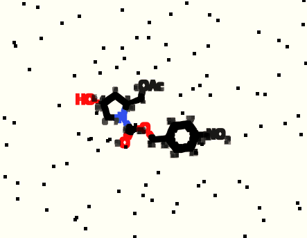 CC(=O)OC[C@@H]1C[C@@H](O)CN1C(=O)OCc1ccc([N+](=O)[O-])cc1